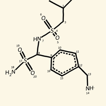 CC(C)CS(=O)(=O)NC(c1ccc(C[NH])cc1)S(N)(=O)=O